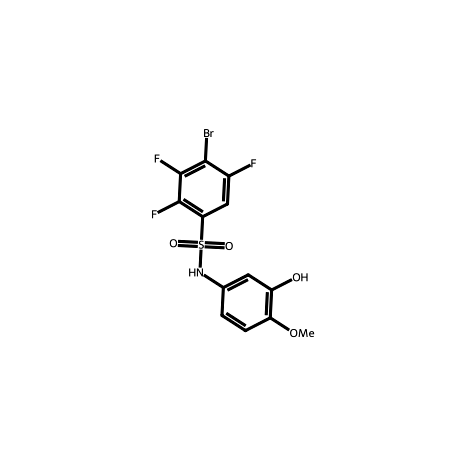 COc1ccc(NS(=O)(=O)c2cc(F)c(Br)c(F)c2F)cc1O